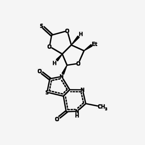 CC[C@H]1O[C@@H](n2c(=O)sc3c(=O)[nH]c(C)nc32)[C@@H]2OC(=S)O[C@@H]21